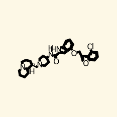 O=C(NC1CCN(C[C@@H]2CCCN3CCCC[C@H]23)CC1)c1cc2c(OCc3coc4cccc(Cl)c34)cccc2[nH]1